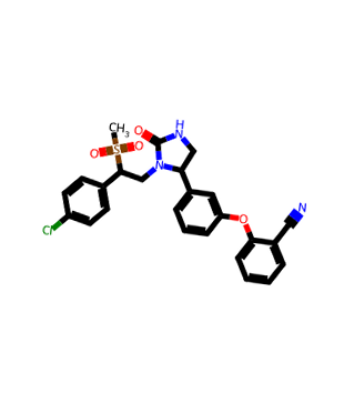 CS(=O)(=O)C(CN1C(=O)NCC1c1cccc(Oc2ccccc2C#N)c1)c1ccc(Cl)cc1